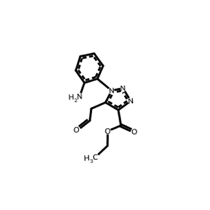 CCOC(=O)c1nnn(-c2ccccc2N)c1CC=O